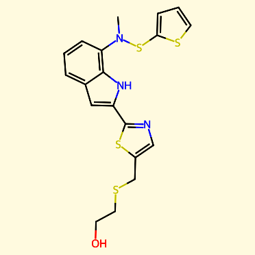 CN(Sc1cccs1)c1cccc2cc(-c3ncc(CSCCO)s3)[nH]c12